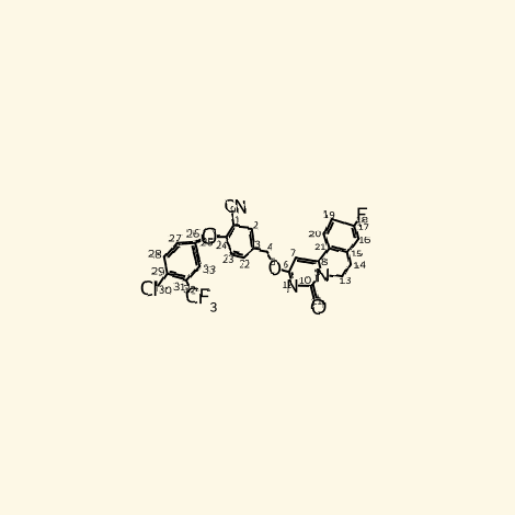 N#Cc1cc(COc2cc3n(c(=O)n2)CCc2cc(F)ccc2-3)ccc1Oc1ccc(Cl)c(C(F)(F)F)c1